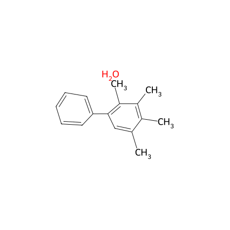 Cc1cc(-c2ccccc2)c(C)c(C)c1C.O